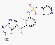 [C-]#[N+]c1cnc2[nH]cc(C(=O)c3cccc(NS(=O)(=O)Cc4ccncc4)c3F)c2c1